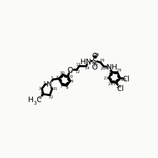 CC1CCN(Cc2cccc(OCCCNS(=O)(=O)CCNc3ccc(Cl)c(Cl)c3)c2)CC1